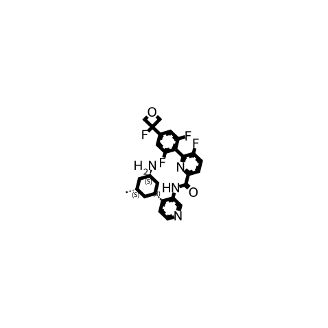 C[C@@H]1C[C@H](N)C[C@H](c2ccncc2NC(=O)c2ccc(F)c(-c3c(F)cc(C4(F)COC4)cc3F)n2)C1